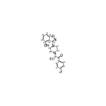 CCC(C(=O)c1ccc(F)cc1)N1CCN(c2noc3cccc(O)c23)CC1